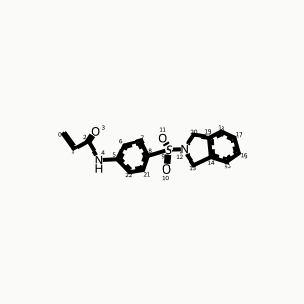 C=CC(=O)Nc1ccc(S(=O)(=O)N2Cc3ccccc3C2)cc1